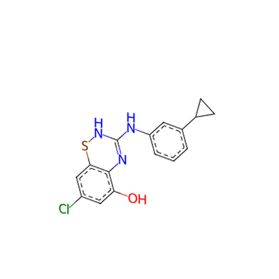 Oc1cc(Cl)cc2c1N=C(Nc1cccc(C3CC3)c1)NS2